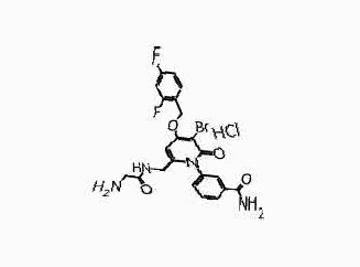 Cl.NCC(=O)NCc1cc(OCc2ccc(F)cc2F)c(Br)c(=O)n1-c1cccc(C(N)=O)c1